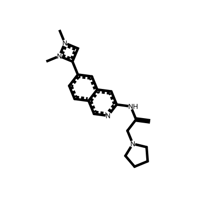 C=C(CN1CCCC1)Nc1cc2cc(-c3cn(C)n3C)ccc2cn1